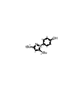 CC(C)(C)c1cc(C(C)(C)C)n(-c2ccc(O)cc2)n1